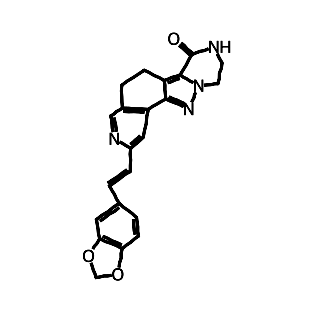 O=C1NCCn2nc3c(c21)CCc1cnc(/C=C/c2ccc4c(c2)OCO4)cc1-3